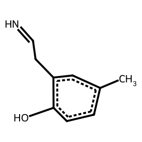 Cc1ccc(O)c(CC=N)c1